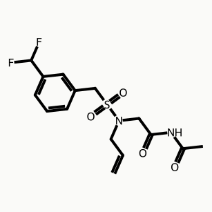 C=CCN(CC(=O)NC(C)=O)S(=O)(=O)Cc1cccc(C(F)F)c1